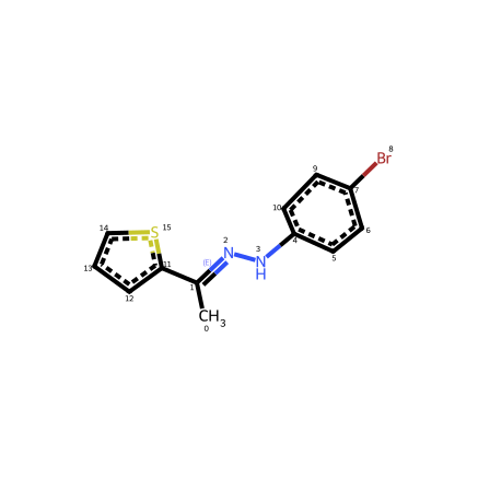 C/C(=N\Nc1ccc(Br)cc1)c1cccs1